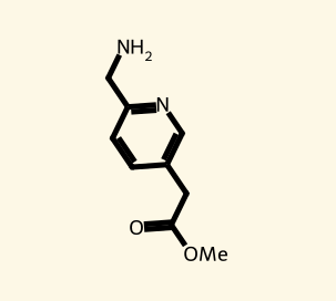 COC(=O)Cc1ccc(CN)nc1